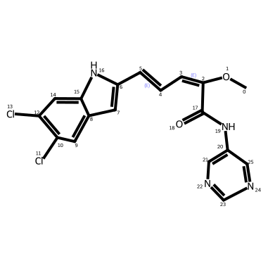 CO/C(=C/C=C/c1cc2cc(Cl)c(Cl)cc2[nH]1)C(=O)Nc1cncnc1